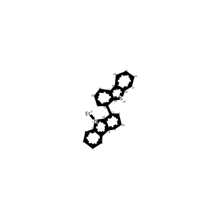 CCn1c2ccccc2c2cccc(-c3cccc4c3sc3ccccc34)c21